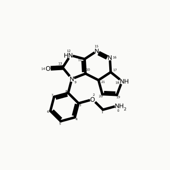 NCOc1ccccc1-n1c2c([nH]c1=O)N=NC1NC=CC21